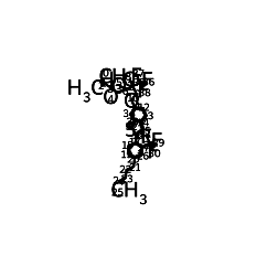 C=C(C)C(=O)OCC(C)(COc1ccc2cc(-c3ccc(CCCCC)cc3C(F)(F)F)sc2c1)C(F)(F)F